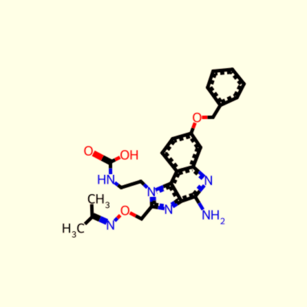 CC(C)=NOCc1nc2c(N)nc3cc(OCc4ccccc4)ccc3c2n1CCNC(=O)O